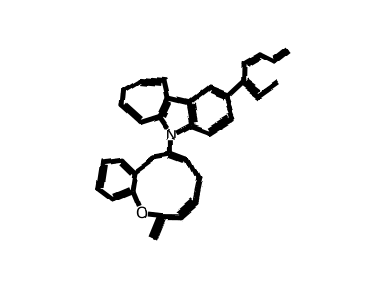 C=C/C=C\C(=C/C)c1ccc2c(c1)c1c(n2/C2=C/C/C=C\C(=C)Oc3ccccc3C2)C=CCC=C1